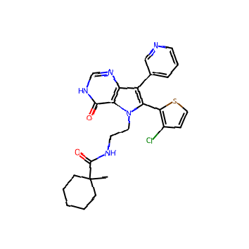 CC1(C(=O)NCCn2c(-c3sccc3Cl)c(-c3cccnc3)c3nc[nH]c(=O)c32)CCCCC1